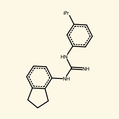 CC(C)c1cccc(NC(=N)Nc2cccc3c2CCC3)c1